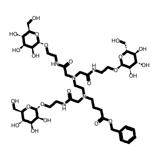 O=C(CN(CCCC(=O)OCc1ccccc1)CCN(CC(=O)NCCO[C@H]1O[C@H](CO)[C@@H](O)[C@H](O)[C@@H]1O)CC(=O)NCCO[C@H]1O[C@H](CO)[C@@H](O)[C@H](O)[C@@H]1O)NCCO[C@H]1O[C@H](CO)[C@@H](O)[C@H](O)[C@@H]1O